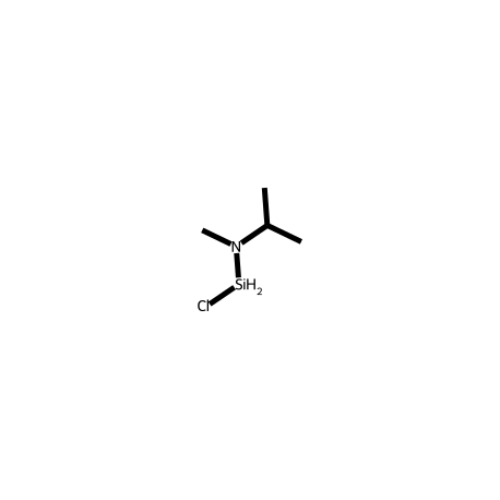 CC(C)N(C)[SiH2]Cl